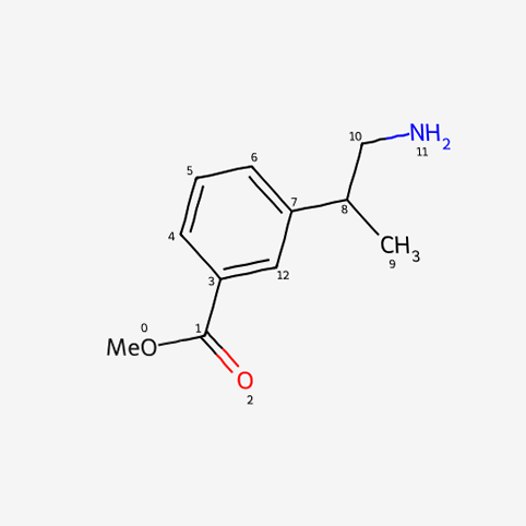 COC(=O)c1cccc(C(C)CN)c1